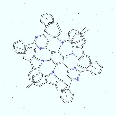 Cc1ccc2c(c1)c1cc(C)ccc1n2-c1c(-c2cc(-c3ccccc3)nc(-c3ccccc3)n2)c(-n2c3ccc(C)cc3c3cc(C)ccc32)c(-n2c3ccc(C)cc3c3cc(C)ccc32)c(-c2cc(-c3ccccc3)nc(-c3ccccc3)n2)c1-n1c2ccc(C)cc2c2cc(C)ccc21